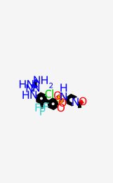 COc1ccc(-c2c(Cl)cc(Nc3n[nH]c(N)n3)cc2C(F)(F)F)cc1S(=O)(=O)NC1CCN(C(C)=O)CC1